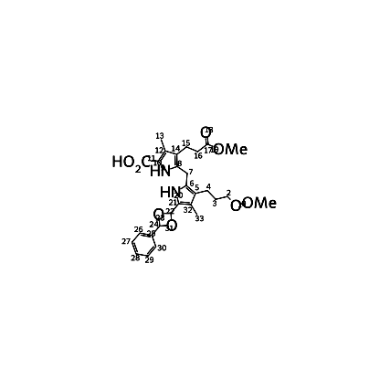 COOCCCc1c(Cc2[nH]c(C(=O)O)c(C)c2CCC(=O)OC)[nH]c(C2OC(c3ccccc3)O2)c1C